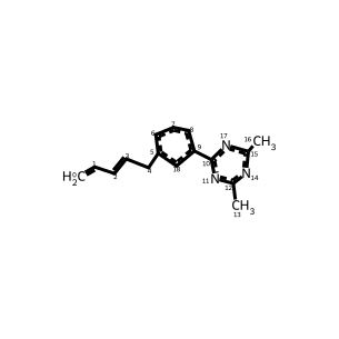 C=C/C=C/Cc1cccc(-c2nc(C)nc(C)n2)c1